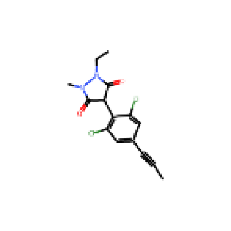 CC#Cc1cc(Cl)c(C2C(=O)N(C)N(CC)C2=O)c(Cl)c1